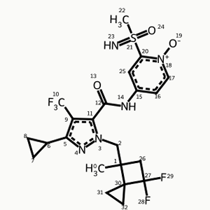 CC1(Cn2nc(C3CC3)c(C(F)(F)F)c2C(=O)Nc2cc[n+]([O-])c(S(C)(=N)=O)c2)CC(F)(F)C12CC2